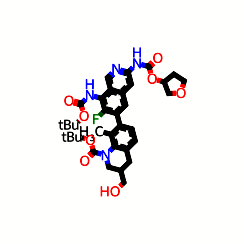 Cc1c(-c2cc3cc(NC(=O)OC4CCOC4)ncc3c(NC(=O)OC(C)(C)C)c2F)ccc2c1N(C(=O)OC(C)(C)C)CC(CO)C2